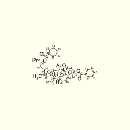 CC(=O)O[C@H]1C[C@H](OC(=O)c2ccccc2)CC2=CC[C@H]3[C@@H]4CC[C@H]([C@H](C)CC[C@@H](OC(=O)c5ccccc5)C(C)C)[C@@]4(C)CC[C@@H]3[C@]21C